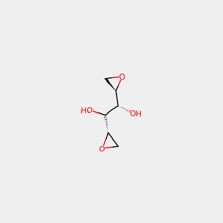 OC([C@@H]1CO1)[C@@H](O)[C@H]1CO1